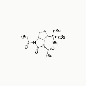 CCC[CH2][Sn]([CH2]CCC)([CH2]CCC)[c]1scc2c1n(C(=O)C(C)(C)C)c(=O)n2C(=O)C(C)(C)C